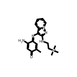 CC1=CC(=Nc2c(NCC[N+](C)(C)C)nn3ccccc23)C(N)=CC1=O